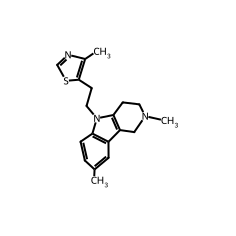 Cc1ccc2c(c1)c1c(n2CCc2scnc2C)CCN(C)C1